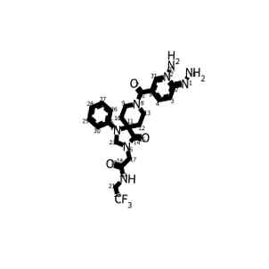 N/N=c1/ccc(C(=O)N2CCC3(CC2)C(=O)N(CC(=O)NCC(F)(F)F)CN3c2ccccc2)cn1N